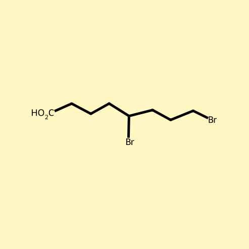 O=C(O)CCCC(Br)CCCBr